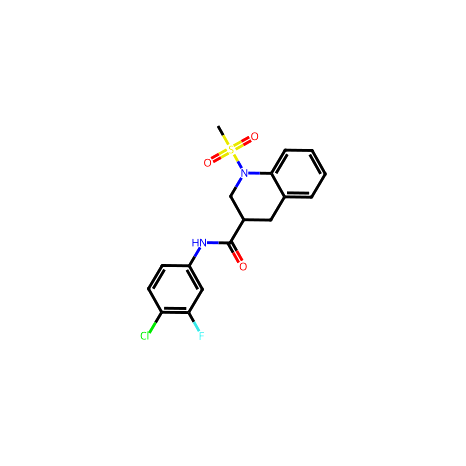 CS(=O)(=O)N1CC(C(=O)Nc2ccc(Cl)c(F)c2)Cc2ccccc21